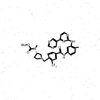 Cc1ccc(NC(=O)c2ccc(CN3CC[C@H](N(C)C(=O)OC(C)(C)C)C3)c(C(F)(F)F)c2)cc1Nc1nccc(-c2cncnc2)n1